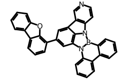 c1ccc2c(c1)B1N(c3ccccc3-2)c2cc(-c3cccc4c3oc3ccccc34)cc3c4cnccc4n1c23